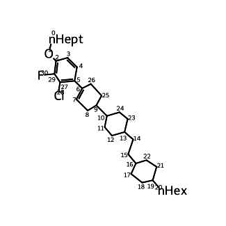 CCCCCCCOc1ccc(C2=CCC(C3CCC(CCC4CCC(CCCCCC)CC4)CC3)CC2)c(Cl)c1F